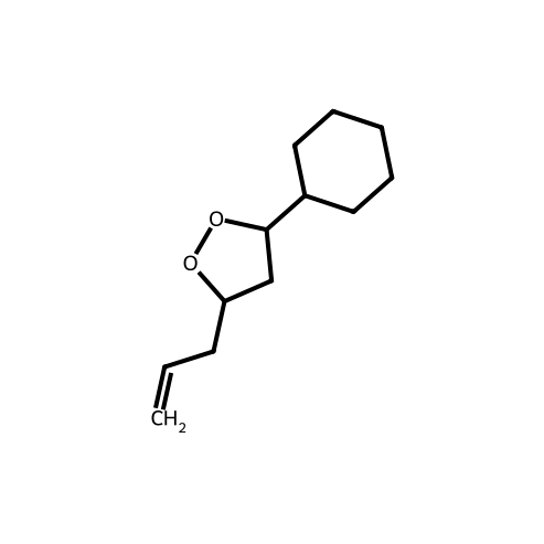 C=CCC1CC(C2CCCCC2)OO1